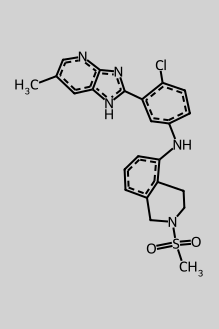 Cc1cnc2nc(-c3cc(Nc4cccc5c4CCN(S(C)(=O)=O)C5)ccc3Cl)[nH]c2c1